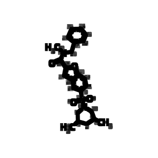 CC1CC(C)CN(S(=O)(=O)c2ccc3oc(C(=O)N(C)Cc4ccccc4)cc3c2)C1